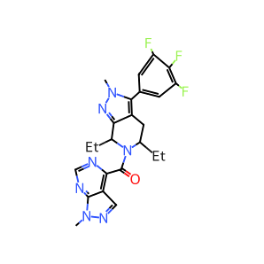 CCC1Cc2c(nn(C)c2-c2cc(F)c(F)c(F)c2)C(CC)N1C(=O)c1ncnc2c1cnn2C